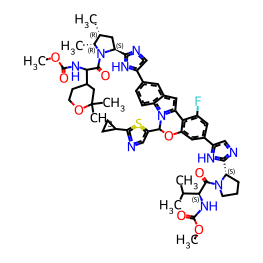 COC(=O)NC(C(=O)N1[C@H](C)[C@H](C)C[C@H]1c1ncc(-c2ccc3c(c2)cc2n3C(c3cnc(C4CC4)s3)Oc3cc(-c4cnc([C@@H]5CCCN5C(=O)[C@@H](NC(=O)OC)C(C)C)[nH]4)cc(F)c3-2)[nH]1)C1CCOC(C)(C)C1